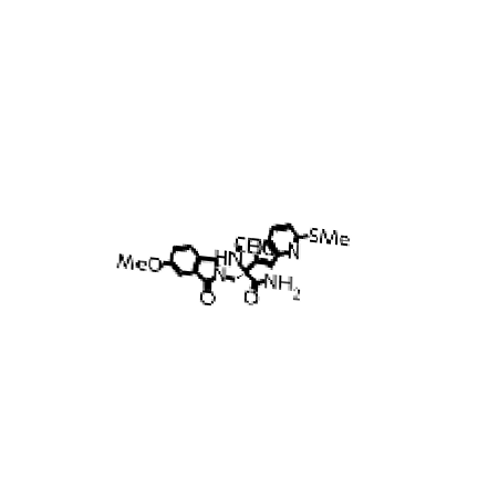 COc1ccc2c(c1)C(=O)N(C[C@@](NC=O)(C(N)=O)c1cc3nc(SC)ccc3o1)C2